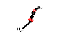 C=CCCCCCCCC1COC(c2ccc(-c3ccc(OCCCC(C)CC)cc3)cc2)OC1